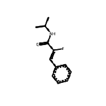 CC(C)NC(=O)C(F)=Cc1ccccc1